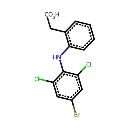 O=C(O)Cc1ccccc1Nc1c(Cl)cc(Br)cc1Cl